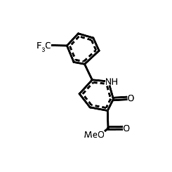 COC(=O)c1ccc(-c2cccc(C(F)(F)F)c2)[nH]c1=O